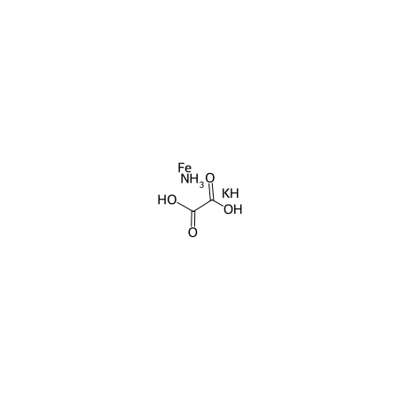 N.O=C(O)C(=O)O.[Fe].[KH]